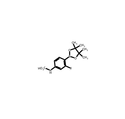 CC1(C)OB(c2ccc(NC(=O)O)cc2F)OC1(C)C